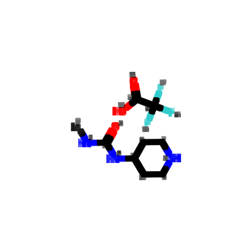 CCNC(=O)NC1CCNCC1.O=C(O)C(F)(F)F